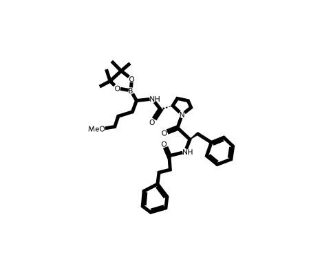 COCCCC(NC(=O)[C@@H]1CCCN1C(=O)[C@@H](Cc1ccccc1)NC(=O)CCc1ccccc1)B1OC(C)(C)C(C)(C)O1